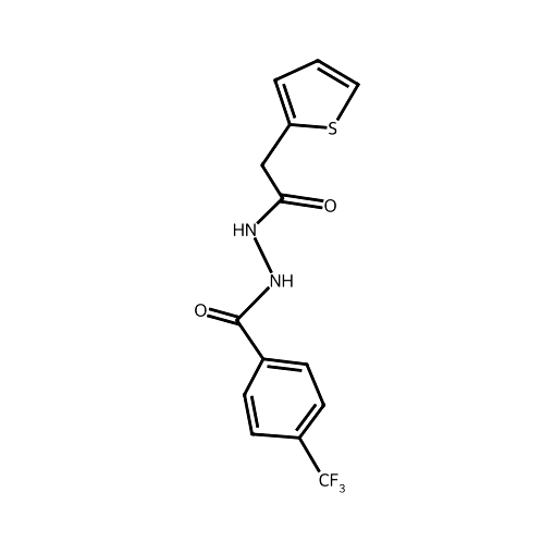 O=C(Cc1cccs1)NNC(=O)c1ccc(C(F)(F)F)cc1